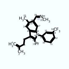 C=C(C)CCc1c(C(C)C)n(-c2cccc(C(F)(F)F)c2)c2cc(/C=N\C)c(C)cc12